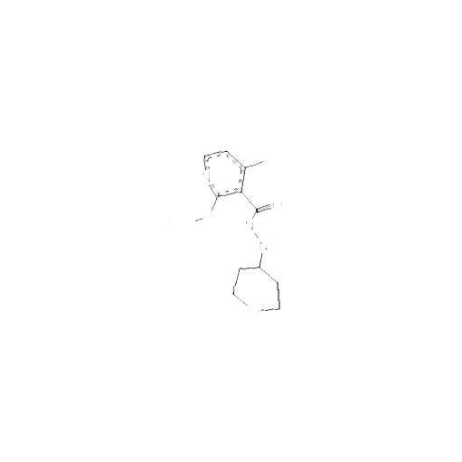 COc1nccc(I)c1C(=O)NNC1CCOCC1